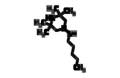 CCCCCNN1CC(C)(C)NC(C)(C)C1